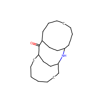 O=C1C2CCCCCCCC(CC2)NC2CCCCCCCC1CC2